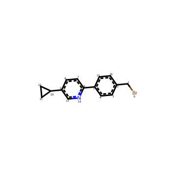 BrCc1ccc(-c2ccc(C3CC3)cn2)cc1